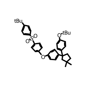 CC1(C)CCC(c2ccc(Oc3ccc(S(=O)(=O)c4ccc(C(C)(C)C)cc4)cc3)cc2)(c2ccc(OC(C)(C)C)cc2)C1